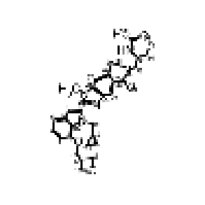 Cn1c(-c2cc3cccc(OCC4COC4)c3n2CC2CC2)nc2cc3c(cc21)CCN(CC(CF)NC(=O)O)C3=O